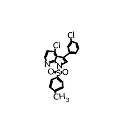 Cc1ccc(S(=O)(=O)n2cc(-c3cccc(Cl)c3)c3c(Cl)ccnc32)cc1